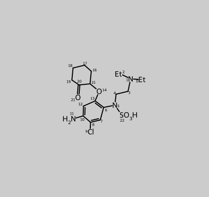 CCN(CC)CCN(c1cc(Cl)c(N)cc1OC1CCCCC1=O)S(=O)(=O)O